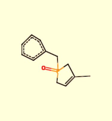 CC1=CCP(=O)(Cc2ccccc2)C1